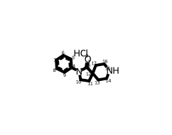 Cl.O=C1N(c2ccccc2)CCC12CCNCC2